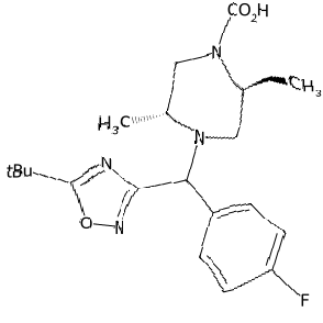 C[C@@H]1CN(C(=O)O)[C@@H](C)CN1C(c1ccc(F)cc1)c1noc(C(C)(C)C)n1